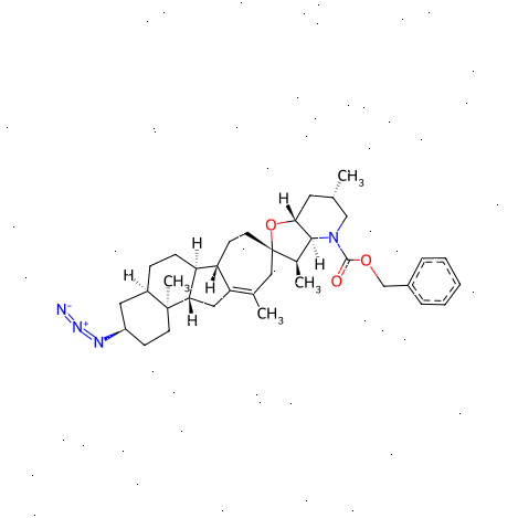 CC1=C2C[C@H]3[C@@H](CC[C@@H]4C[C@H](N=[N+]=[N-])CC[C@@]43C)[C@@H]2CC[C@@]2(C1)O[C@@H]1C[C@H](C)CN(C(=O)OCc3ccccc3)[C@H]1[C@H]2C